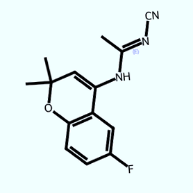 C/C(=N\C#N)NC1=CC(C)(C)Oc2ccc(F)cc21